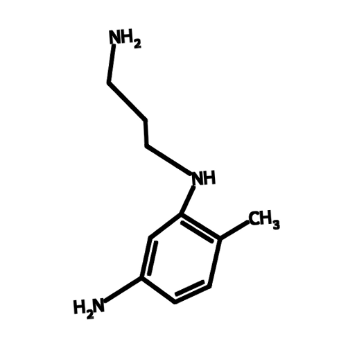 Cc1ccc(N)cc1NCCCN